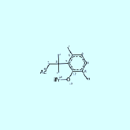 CC(=O)CC(C)(C)c1c(C)ccc(C)c1OC(C)C